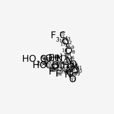 CCN1CCC(N(Cc2ccc(-c3ccc(C(F)(F)F)cc3)cc2)C(=O)Cn2c(CCc3cccc(F)c3F)nc(=O)c3cccnc32)CC1.O=C(O)C(O)C(O)C(=O)O